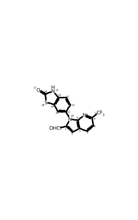 O=Cc1cc2ccc(C(F)(F)F)nc2n1-c1ccc2[nH]c(=O)sc2c1